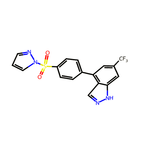 O=S(=O)(c1ccc(-c2cc(C(F)(F)F)cc3[nH]ncc23)cc1)n1cccn1